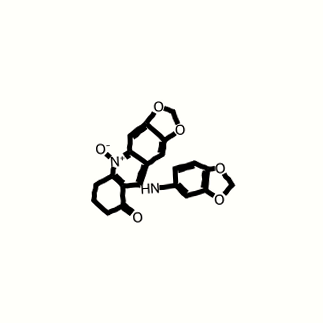 O=C1CCCc2c1c(Nc1ccc3c(c1)OCO3)c1cc3c(cc1[n+]2[O-])OCO3